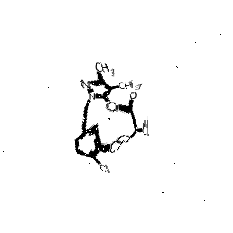 Cc1nn(Cc2ccc(Cl)c(Cl)c2)c(OC(=O)C(Cl)Cl)c1C